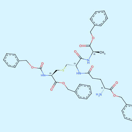 C[C@@H](NC(=O)[C@@H](CSC[C@H](NC(=O)OCc1ccccc1)C(=O)OCc1ccccc1)NC(=O)CC[C@@H](N)C(=O)OCc1ccccc1)C(=O)OCc1ccccc1